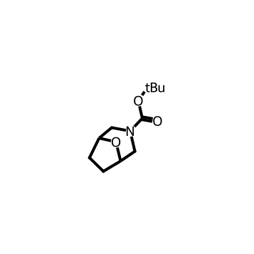 CC(C)(C)OC(=O)N1CC2CCC(C1)O2